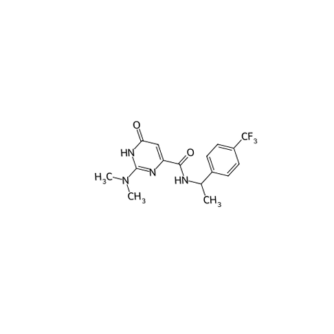 CC(NC(=O)c1cc(=O)[nH]c(N(C)C)n1)c1ccc(C(F)(F)F)cc1